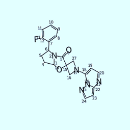 O=C1N2C(CCC2c2ccccc2F)OC12CN(c1ccnc3ccnn13)C2